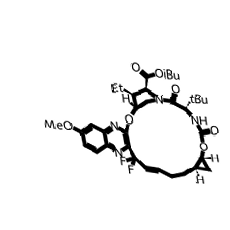 CC[C@@H]1[C@@H]2CN(C(=O)[C@H](C(C)(C)C)NC(=O)O[C@@H]3C[C@H]3CC/C=C/C(F)(F)c3nc4ccc(OC)cc4nc3O2)[C@@H]1C(=O)OCC(C)C